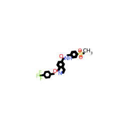 CCS(=O)(=O)c1ccc(CNC(=O)c2ccc3c(OCC4CCC(C(F)(F)F)CC4)nccc3c2)cc1